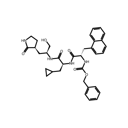 O=C(N[C@@H](Cc1cccc2ccccc12)C(=O)N[C@@H](CC1CC1)C(=O)N[C@H](CO)C[C@@H]1CCNC1=O)OCc1ccccc1